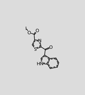 O=C(OI)c1csc(C(=O)c2c[nH]c3ccccc23)n1